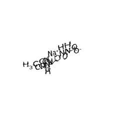 CC(C)(C)OC(=O)NN=Cc1ccc(NC(=O)NCC(=O)[O-])cc1.[Na+]